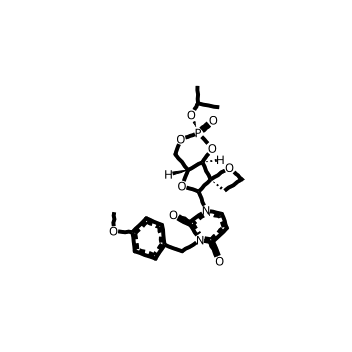 COc1ccc(Cn2c(=O)ccn(C3O[C@@H]4CO[P@](=O)(OC(C)C)O[C@H]4[C@]34CCO4)c2=O)cc1